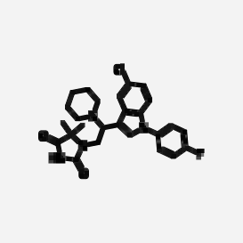 CC1(C)C(=O)NC(=O)N1CC(c1cn(-c2ccc(F)cc2)c2ccc(Cl)cc12)N1CCCCC1